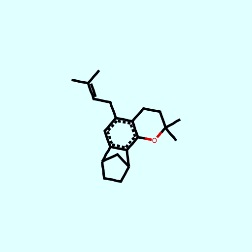 CC(C)=CCc1cc2c(c3c1CCC(C)(C)O3)C1CCC2C1